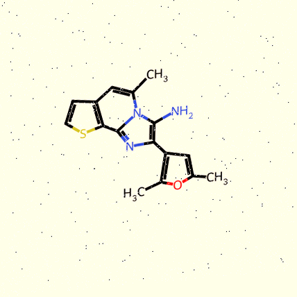 Cc1cc(-c2nc3c4sccc4cc(C)n3c2N)c(C)o1